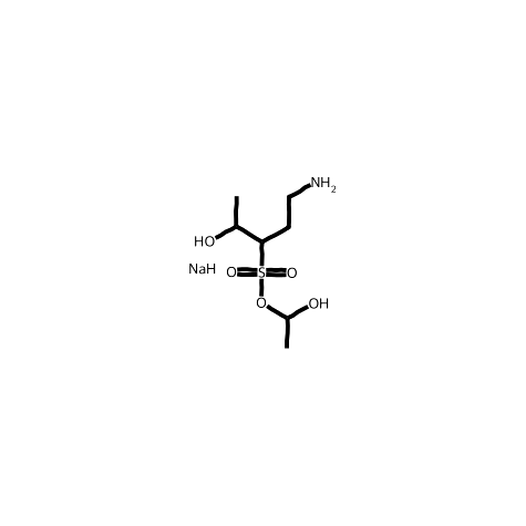 CC(O)OS(=O)(=O)C(CCN)C(C)O.[NaH]